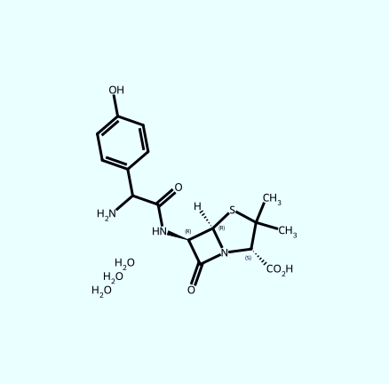 CC1(C)S[C@@H]2[C@H](NC(=O)C(N)c3ccc(O)cc3)C(=O)N2[C@H]1C(=O)O.O.O.O